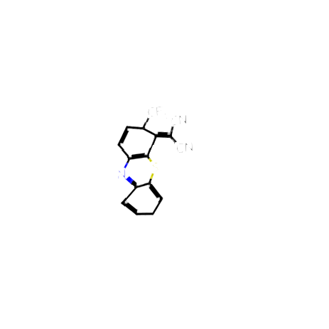 N#CC(C#N)=C1C2=C(C=CC1C(F)(F)F)N=C1C=CCC=C1S2